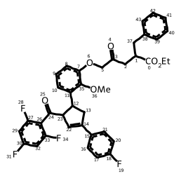 CCOC(=O)C(CC(=O)COc1cccc(C2CC(c3ccc(F)cc3)=CC2C(=O)c2c(F)cc(F)cc2F)c1OC)Cc1ccccc1